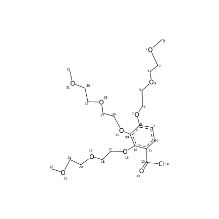 COCCOCCOc1ccc(C(=O)Cl)c(OCCOCCOC)c1OCCOCCOC